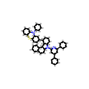 c1ccc(-c2cc(-c3ccccc3)nc(-n3c4cccc(-c5ccc6c(c5)N(c5ccccc5)c5ccccc5S6)c4c4c5ccccc5ccc43)c2)cc1